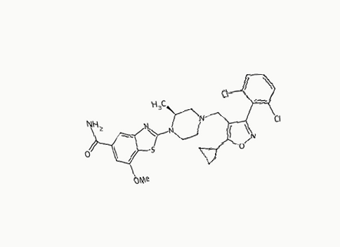 COc1cc(C(N)=O)cc2nc(N3CCN(Cc4c(-c5c(Cl)cccc5Cl)noc4C4CC4)C[C@@H]3C)sc12